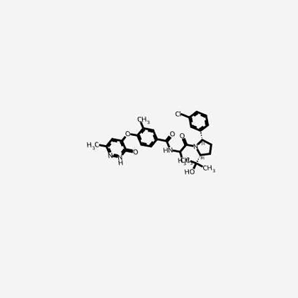 Cc1cc(Oc2ccc(C(=O)NC(C)C(=O)N3[C@H](c4cccc(Cl)c4)CC[C@@H]3C(C)(C)O)cc2C)c(=O)[nH]n1